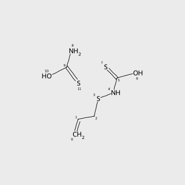 C=CCSNC(O)=S.NC(O)=S